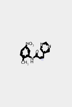 Cc1ccc([N+](=O)[O-])cc1NC(=O)/C=C\c1cncnc1